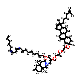 CCCCC/C=C\C/C=C\CCCCCCCCOCC(CN1CC[C@]2(C)CCCC[C@]2(C)C1)OCCOCCO[C@@]1(C)CCC2C(=CCC3C2CCC2C3CC[C@]2(C)CCCCC(C)C)C1